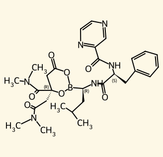 CC(C)C[C@H](NC(=O)[C@H](Cc1ccccc1)NC(=O)c1cnccn1)B1OC(=O)C[C@](CC(=O)N(C)C)(C(=O)N(C)C)O1